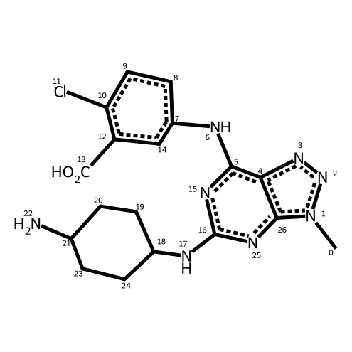 Cn1nnc2c(Nc3ccc(Cl)c(C(=O)O)c3)nc(NC3CCC(N)CC3)nc21